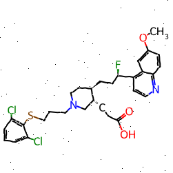 COc1ccc2nccc([C@H](F)CC[C@@H]3CCN(CCCSc4c(Cl)cccc4Cl)C[C@H]3CCC(=O)O)c2c1